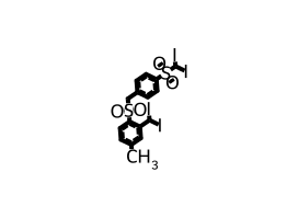 Cc1ccc(S(=O)(=O)Cc2ccc(S(=O)(=O)C(I)I)cc2)c(C(I)I)c1